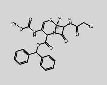 CC(C)OC(=O)NC1=CS[C@@H]2C(NC(=O)CCl)C(=O)N2C1C(=O)OC(c1ccccc1)c1ccccc1